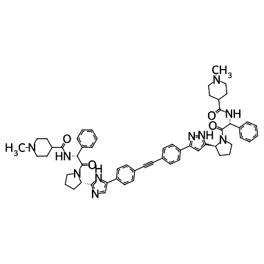 CN1CCC(C(=O)N[C@@H](C(=O)N2CCC[C@H]2c2cc(-c3ccc(C#Cc4ccc(-c5cnc([C@@H]6CCCN6C(=O)[C@H](NC(=O)C6CCN(C)CC6)c6ccccc6)[nH]5)cc4)cc3)n[nH]2)c2ccccc2)CC1